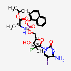 CC(C)OC(=O)[C@@H](C)N[P@](=O)(OC[C@H]1O[C@@H](n2cc(I)c(N)nc2=O)[C@](C)(F)[C@@H]1O)Oc1cccc2ccccc12